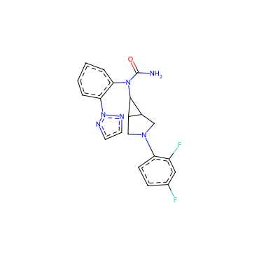 NC(=O)N(c1ccccc1-n1nccn1)C1C2CN(c3ccc(F)cc3F)CC21